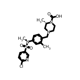 Cc1cc(N(C)S(=O)(=O)c2ccc(Cl)nc2)ccc1CN1CCN(C(=O)O)[C@@H](C)C1